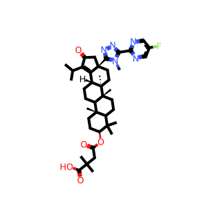 CC(C)C1=C2[C@H]3CCC4[C@@]5(C)CC[C@H](OC(=O)CC(C)(C)C(=O)O)C(C)(C)C5CC[C@@]4(C)[C@]3(C)CC[C@@]2(c2nnc(-c3ncc(F)cn3)n2C)CC1=O